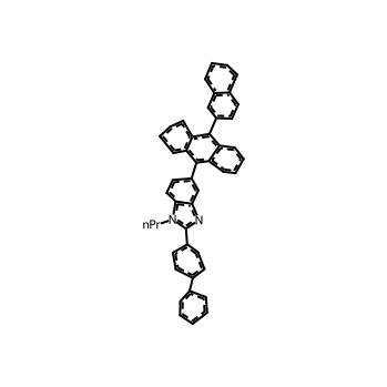 CCCn1c(-c2ccc(-c3ccccc3)cc2)nc2cc(-c3c4ccccc4c(-c4ccc5ccccc5c4)c4ccccc34)ccc21